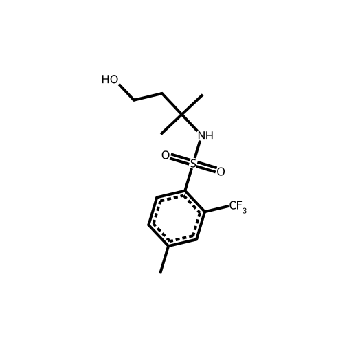 Cc1ccc(S(=O)(=O)NC(C)(C)CCO)c(C(F)(F)F)c1